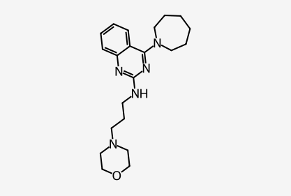 c1ccc2c(N3CCCCCC3)nc(NCCCN3CCOCC3)nc2c1